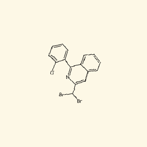 Clc1ccccc1-c1nc(C(Br)Br)cc2ccccc12